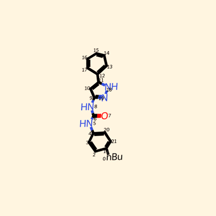 CCCCc1ccc(NC(=O)Nc2cc(-c3ccccc3)[nH]n2)cc1